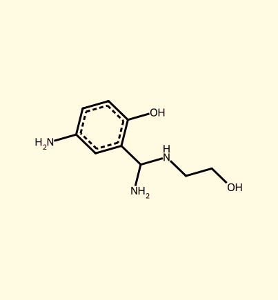 Nc1ccc(O)c(C(N)NCCO)c1